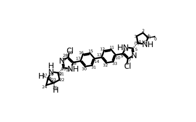 C[C@@H]1CC[C@@H](c2nc(Cl)c(-c3ccc(-c4ccc(-c5[nH]c([C@@H]6C[C@H]7C[C@H]7N6)nc5Cl)cc4)cc3)[nH]2)N1